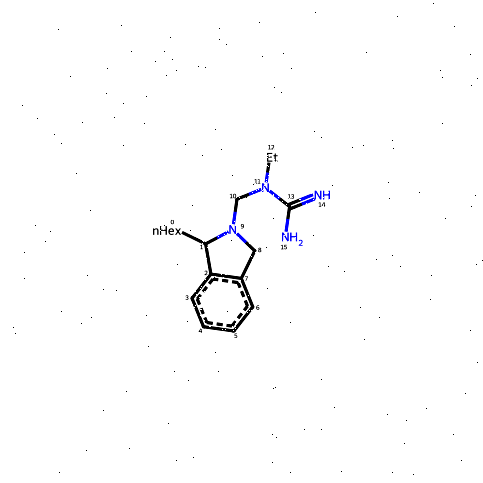 CCCCCCC1c2ccccc2CN1CN(CC)C(=N)N